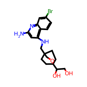 Nc1cc(NCC23CCC(C(O)CO)(CC2)OC3)c2ccc(Br)cc2n1